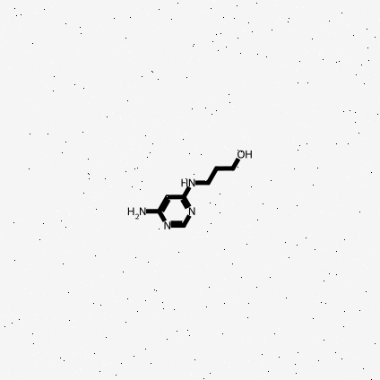 Nc1cc(NCCCO)ncn1